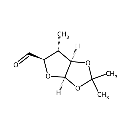 C[C@@H]1[C@H]2OC(C)(C)O[C@H]2O[C@H]1C=O